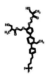 C=C(CO)C(=O)OCOc1ccc(-c2ccc(-c3ccc(CCCCC(F)(F)F)cc3)c(CC)c2)cc1OCOC(=O)C(C)CO